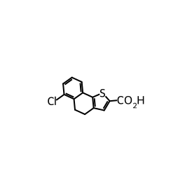 O=C(O)c1cc2c(s1)-c1cccc(Cl)c1CC2